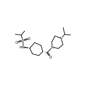 CC(C)N1CCN(C(=O)[C@H]2CC[C@H](NS(=O)(=O)C(C)C)CC2)CC1